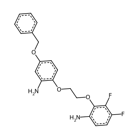 Nc1cc(OCc2ccccc2)ccc1OCCOc1c(N)ccc(F)c1F